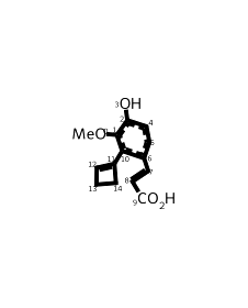 COc1c(O)ccc(C=CC(=O)O)c1C1=CCC1